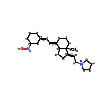 CC12CCC/C(=C\C=C3\CCCC(N=O)C3)C1CC/C2=C\CN1CCCC1